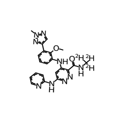 [2H]C([2H])([2H])NC(=O)c1nnc(Nc2ccccn2)cc1Nc1cccc(-c2cnn(C)n2)c1OC